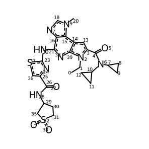 CCn1c(C(=O)N(C2CC2)C2CC2)cc2c3c(ncn3C)c(Nc3nc(C(=O)NC4CCS(=O)(=O)C4)cs3)nc21